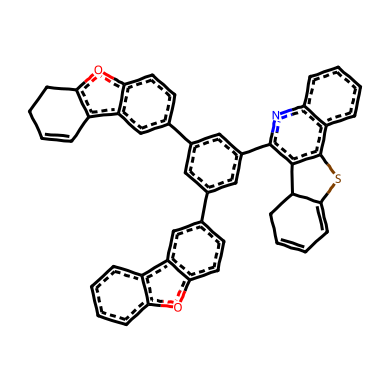 C1=CCC2C(=C1)Sc1c2c(-c2cc(-c3ccc4oc5c(c4c3)C=CCC5)cc(-c3ccc4oc5ccccc5c4c3)c2)nc2ccccc12